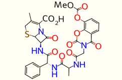 COC(=O)Oc1cccc2c(=O)n(CC(=O)NC(C)C(=O)N[C@@H](C(=O)N[C@@H]3C(=O)N4C(C(=O)O)=C(C)CSC34)c3ccccc3)c(=O)oc12